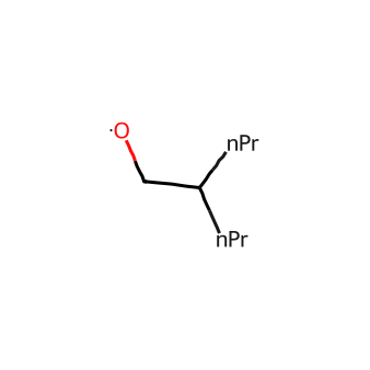 CCCC(C[O])CCC